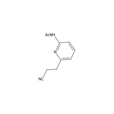 CC(=O)Nc1cccc(CCC#N)n1